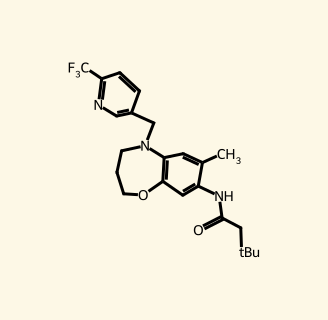 Cc1cc2c(cc1NC(=O)CC(C)(C)C)OCCCN2Cc1ccc(C(F)(F)F)nc1